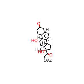 CC(=O)OCC(=O)[C@@]1(O)CC[C@H]2[C@@H]3CC[C@@H]4CC(=O)CC[C@]4(C)[C@H]3[C@@H](O)C[C@@]21C